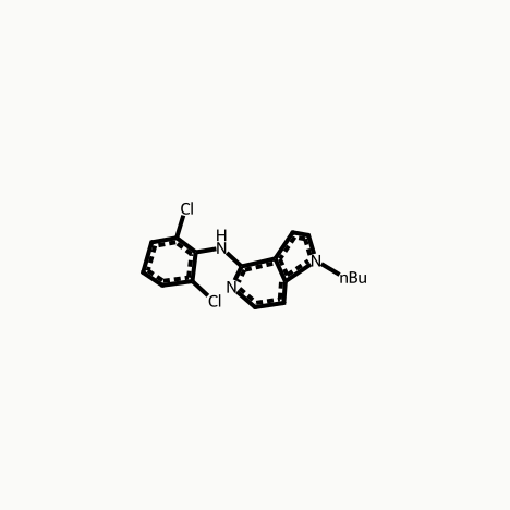 CCCCn1ccc2c(Nc3c(Cl)cccc3Cl)nccc21